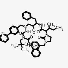 CCC(C)C(C(=O)NC(Cc1ccccc1)C(O)CN(Cc1ccc(-c2ccccn2)cc1)NC(=O)N(CC(C)(C)C)C(=O)OC)N1CCN(Cc2ccnc3ccccc23)C1=O